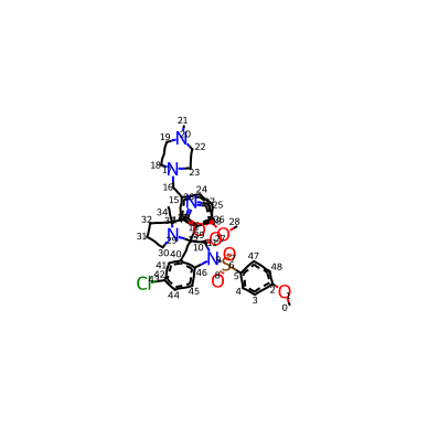 COc1ccc(S(=O)(=O)N2C(=O)C(c3cc(CN4CCN(C)CC4)ccc3OC)(N3CCCC3(C)c3ncco3)c3cc(Cl)ccc32)cc1